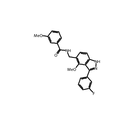 COc1cccc(C(=O)NCc2ccc3[nH]nc(-c4cccc(F)c4)c3c2OC)c1